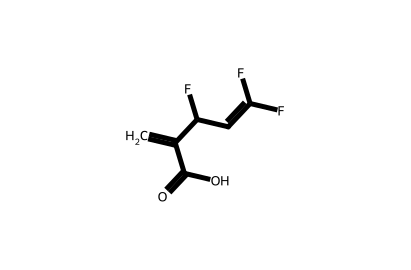 C=C(C(=O)O)C(F)C=C(F)F